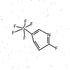 Fc1ccc(S(F)(F)(F)(F)F)cn1